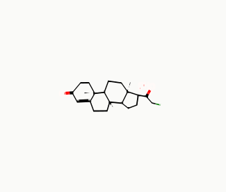 C[C@]12CCC(=O)C=C1CC[C@@H]1[C@@H]2CC[C@@]2(C)[C@H]1CC[C@]2(O)C(=O)CCl